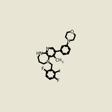 Cc1c(-c2cccc(N3CCOCC3)c2)cnc2c1N(Cc1c(F)ccc(F)c1I)CCCN2